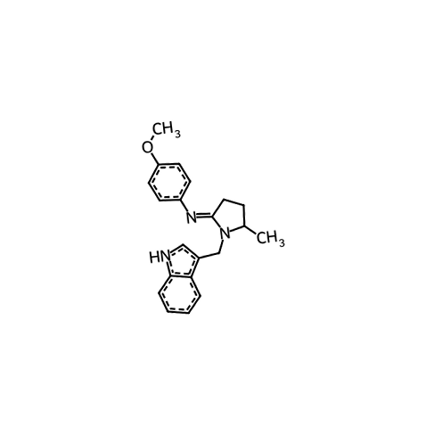 COc1ccc(N=C2CCC(C)N2Cc2c[nH]c3ccccc23)cc1